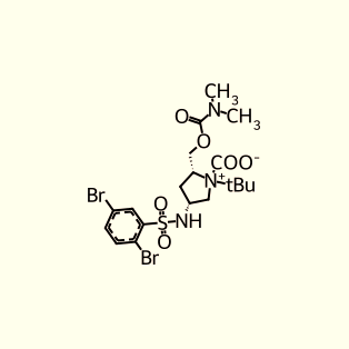 CN(C)C(=O)OC[C@H]1C[C@@H](NS(=O)(=O)c2cc(Br)ccc2Br)C[N+]1(C(=O)[O-])C(C)(C)C